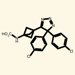 O=C(O)NC12CC(C3=NN=NC3(c3ccc(Cl)cc3)c3ccc(Cl)cc3)(C1)C2